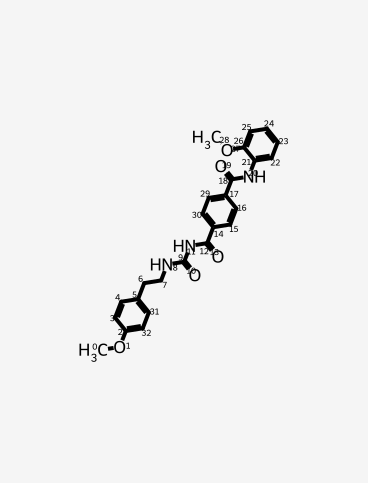 COc1ccc(CCNC(=O)NC(=O)c2ccc(C(=O)Nc3ccccc3OC)cc2)cc1